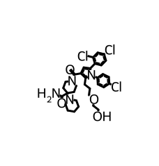 NC(=O)C1(N2CCCCC2)CCN(C(=O)c2cc(-c3ccc(Cl)cc3Cl)n(-c3ccc(Cl)cc3)c2CCCOCCO)CC1